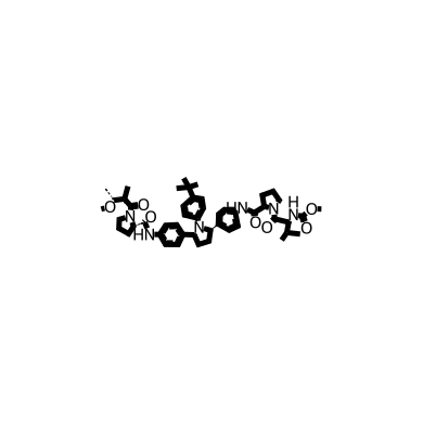 COC(=O)NC(C(=O)N1CCCC1C(=O)Nc1ccc([C@@H]2CCC(c3ccc(NC(=O)[C@@H]4CCCN4C(=O)[C](C)[C@@H](C)OC)cc3)N2c2ccc(C(C)(C)C)cc2)cc1)C(C)C